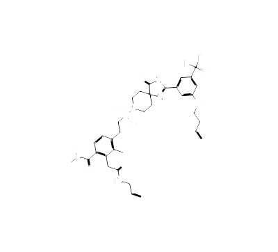 C=CCCOc1cc(C2=NC3(CCN(S(=O)(=O)CCc4ccc(C(=O)NC)c(CC(=O)NCC=C)c4C)CC3)C(=O)N2)cc(C(F)(F)F)c1